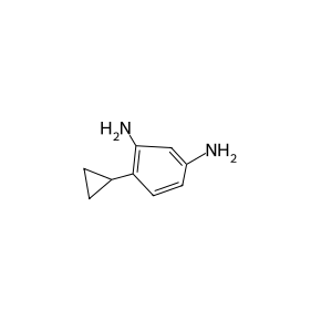 Nc1ccc(C2CC2)c(N)c1